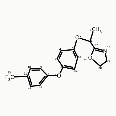 CC(Oc1ccc(Oc2ccc(C(F)(F)F)cc2)cc1)C1=NCCO1